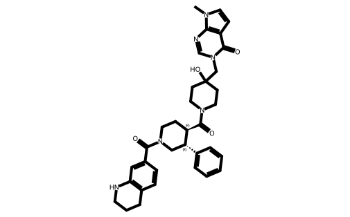 Cn1ccc2c(=O)n(CC3(O)CCN(C(=O)[C@@H]4CCN(C(=O)c5ccc6c(c5)NCCC6)C[C@H]4c4ccccc4)CC3)cnc21